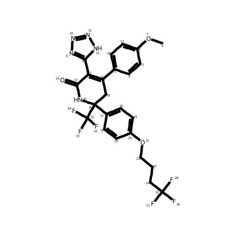 COc1ccc(C2=C(c3nnn[nH]3)C(=O)NC(c3ccc(OCCCC(F)(F)F)cc3)(C(F)(F)F)C2)cc1